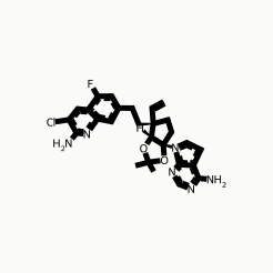 C=C[C@]1(CCc2cc(F)c3cc(Cl)c(N)nc3c2)CC[C@]2(n3ccc4c(N)ncnc43)OC(C)(C)O[C@H]12